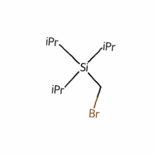 CC(C)[Si](CBr)(C(C)C)C(C)C